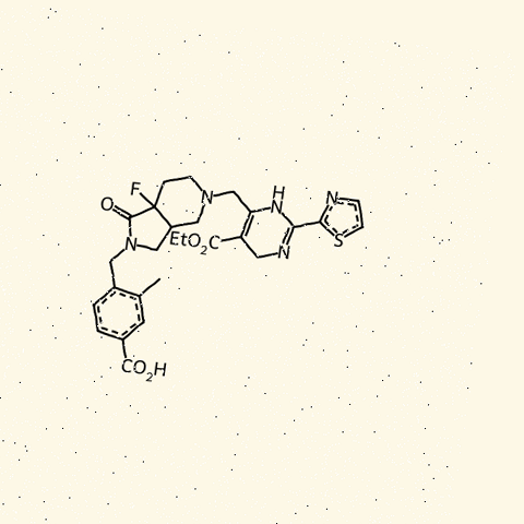 CCOC(=O)C1=C(CN2CCC3(F)C(=O)N(Cc4ccc(C(=O)O)cc4C)CC3C2)NC(c2nccs2)=NC1